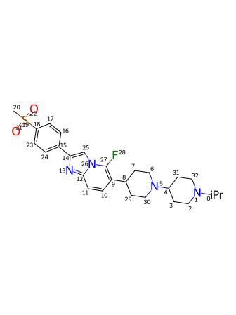 CC(C)N1CCC(N2CCC(c3ccc4nc(-c5ccc(S(C)(=O)=O)cc5)cn4c3F)CC2)CC1